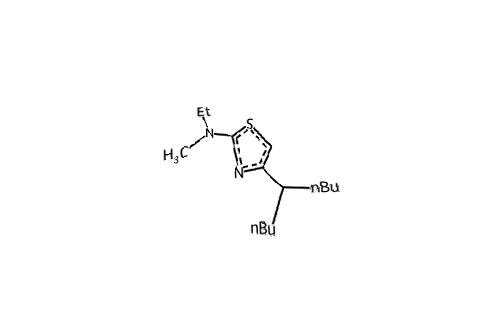 CCCCC(CCCC)c1csc(N(C)CC)n1